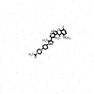 COc1ccc(F)c(Cl)c1[C@@H](C)c1c[nH]c2ncc(-c3cnn(C4CCC(N5CCN(C(C)=O)CC5)CC4)c3C)cc12